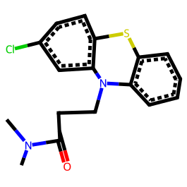 CN(C)C(=O)CCN1c2ccccc2Sc2ccc(Cl)cc21